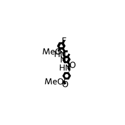 COc1ccc(F)cc1C(C)Nc1ncc(C(=O)NC[C@H]2CC[C@H](C(=O)OC)CC2)cc1C